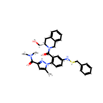 CCCCN(CCCC)C(=O)c1cc(C)n(-c2ccc(NSCc3ccccc3)cc2C(=O)N2Cc3ccccc3C[C@H]2CO)n1